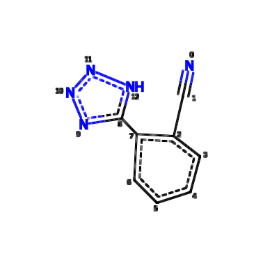 N#Cc1ccccc1-c1nnn[nH]1